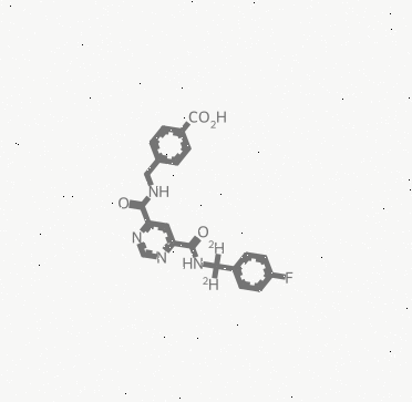 [2H]C([2H])(NC(=O)c1cc(C(=O)NCc2ccc(C(=O)O)cc2)ncn1)c1ccc(F)cc1